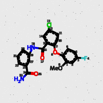 COc1cc(F)ccc1Oc1ccc(Cl)cc1C(=O)Nc1cccc(C(N)=O)c1